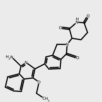 CCOc1c(-c2ccc3c(c2)CN(C2CCC(=O)NC2=O)C3=O)nc(N)c2ccccc12